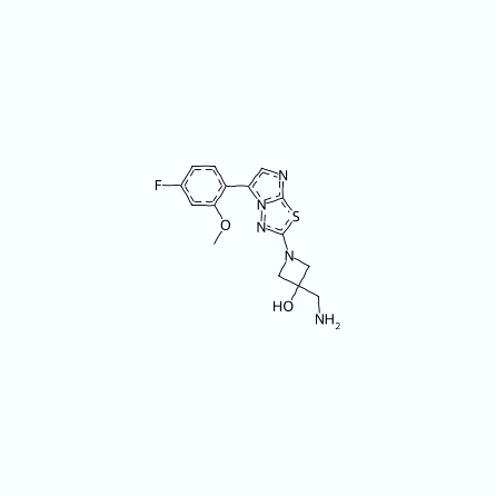 COc1cc(F)ccc1-c1cnc2sc(N3CC(O)(CN)C3)nn12